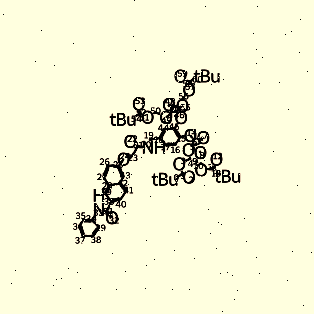 CC(C)(C)C(=O)OCOP(=O)(OCOC(=O)C(C)(C)C)Oc1ccc(CNC(=O)COc2ccc3cc(C(=O)Nc4ccccc4)ccc3c2)cc1OP(=O)(OCOC(=O)C(C)(C)C)OCOC(=O)C(C)(C)C